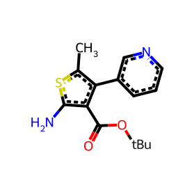 Cc1sc(N)c(C(=O)OC(C)(C)C)c1-c1cccnc1